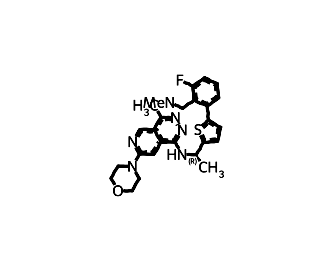 CNCc1c(F)cccc1-c1ccc([C@@H](C)Nc2nnc(C)c3cnc(N4CCOCC4)cc23)s1